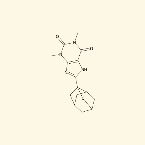 Cn1c(=O)c2[nH]c(C34CC5CC(CC3C5)C4)nc2n(C)c1=O